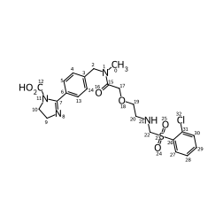 CN(Cc1ccc(C2=NCCN2C(=O)O)cc1)C(=O)COCCNCS(=O)(=O)c1ccccc1Cl